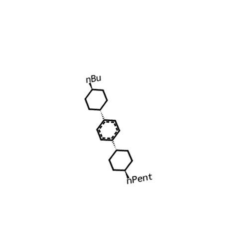 CCCCC[C@H]1CC[C@H](c2ccc([C@H]3CC[C@H](CCCC)CC3)cc2)CC1